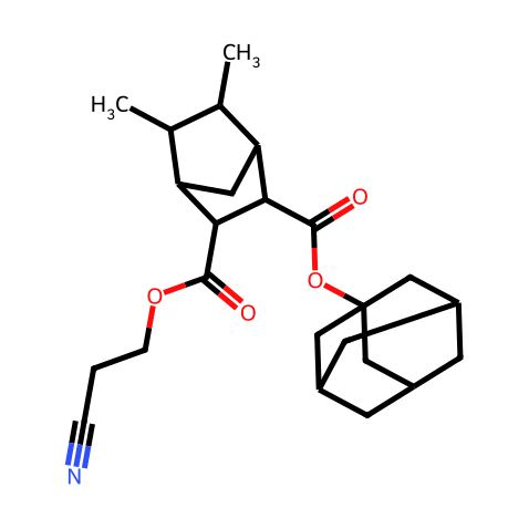 CC1C(C)C2CC1C(C(=O)OCCC#N)C2C(=O)OC12CC3CC(CC(C3)C1)C2